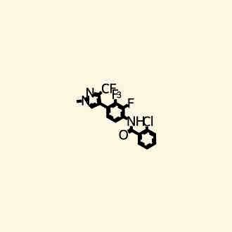 Cn1cc(-c2ccc(NC(=O)c3ccccc3Cl)c(F)c2F)c(C(F)(F)F)n1